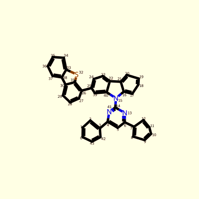 c1ccc(-c2cc(-c3ccccc3)nc(-n3c4ccccc4c4ccc(-c5cccc6c5sc5ccccc56)cc43)n2)cc1